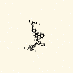 CN(C)OOSc1ccc(-c2ccc(NC(=O)c3nc(C#N)cn3COCC[Si](C)(C)C)c(C3=CCCCC3)c2)cc1